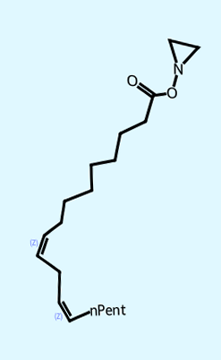 CCCCC/C=C\C/C=C\CCCCCCCC(=O)ON1CC1